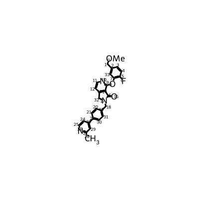 COCc1ccc(F)c(Oc2nccc3c2C(=O)N(Cc2ccc(-c4ccnc(C)c4)cc2)C3)c1